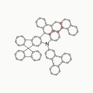 c1ccc2c(c1)-c1ccccc1C21c2ccccc2-c2cc(-c3cc4ccccc4c4ccccc34)c(N(c3ccc(-c4cccc5ccccc45)cc3)c3ccc4c5ccccc5c5ccccc5c4c3)cc21